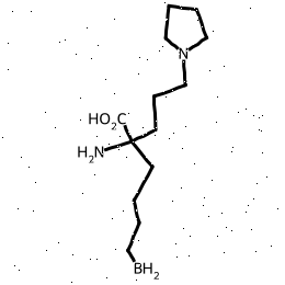 BCCCCC(N)(CCCN1CCCC1)C(=O)O